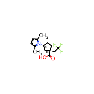 Cc1ccc(C)n1[C@@H]1CC[C@](CC(F)(F)F)(C(=O)O)C1